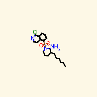 CCCCCCC1CCCN(S(=O)(=O)c2cccc3c(Cl)nccc23)C1N